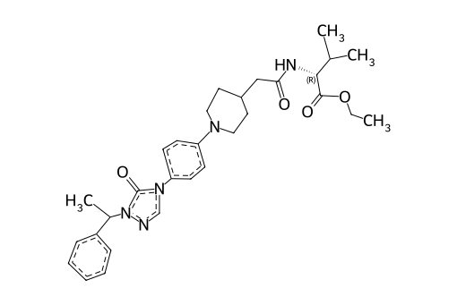 CCOC(=O)[C@H](NC(=O)CC1CCN(c2ccc(-n3cnn(C(C)c4ccccc4)c3=O)cc2)CC1)C(C)C